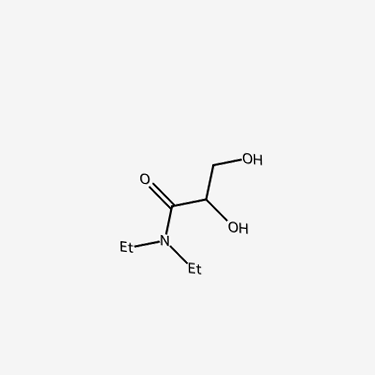 CCN(CC)C(=O)C(O)CO